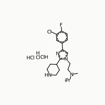 CC(C)N(C)CCn1cc(-c2ccc(F)c(Cl)c2)nc1C1CCNCC1.Cl.Cl.Cl